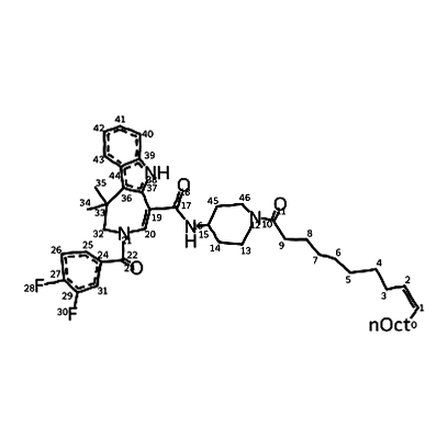 CCCCCCCC/C=C\CCCCCCCC(=O)N1CCC(NC(=O)C2=CN(C(=O)c3ccc(F)c(F)c3)CC(C)(C)c3c2[nH]c2ccccc32)CC1